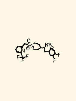 NC(Cc1cc(F)c(F)cc1F)C1CCN(S(=O)(=O)Cc2cccc(C(F)(F)F)n2)CC1